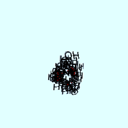 CC(=O)N[C@@H](Cc1ccccc1)C(=O)NCC(=O)N[C@H](C(=O)N[C@@H]1C(=O)N[C@@H](CC(C)C)C(=O)N[C@H]2CCCCNC(=O)CC[C@@H](C(=O)N[C@@H](Cc3ccc(O)cc3)C(=O)O)NC(=O)[C@@H]3CCC(=O)OC[C@H](NC(=O)[C@@H]4CCCN4C(=O)[C@H](Cc4ccc(O)cc4)NC2=O)C(=O)N[C@@H](CC(=O)O[C@@H]1C)C(=O)N[C@@H](Cc1cc2ccccc2[nH]1)C(=O)N3)[C@@H](C)O